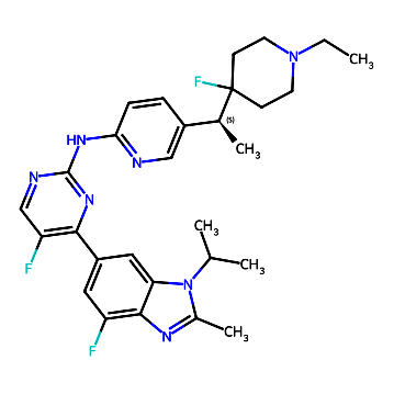 CCN1CCC(F)([C@@H](C)c2ccc(Nc3ncc(F)c(-c4cc(F)c5nc(C)n(C(C)C)c5c4)n3)nc2)CC1